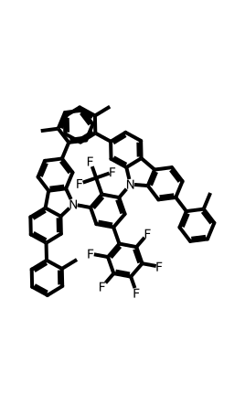 Cc1ccccc1-c1ccc2c3ccc(-c4ccccc4C)cc3n(-c3cc(-c4c(F)c(F)c(F)c(F)c4F)cc(-n4c5cc(-c6ccccc6C)ccc5c5ccc(-c6ccccc6C)cc54)c3C(F)(F)F)c2c1